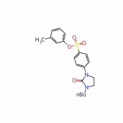 CCCCN1CCN(c2ccc(S(=O)(=O)Oc3cccc(C)c3)cc2)C1=O